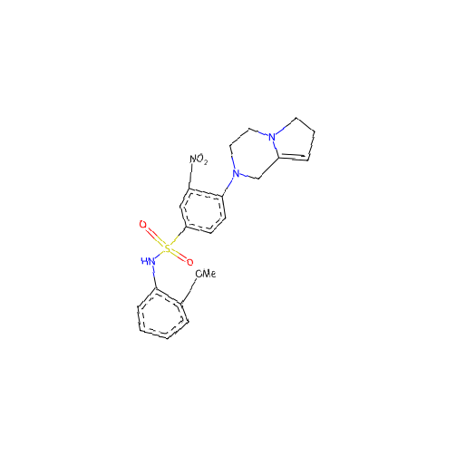 COc1ccccc1NS(=O)(=O)c1ccc(N2CCN3CCC=C3C2)c([N+](=O)[O-])c1